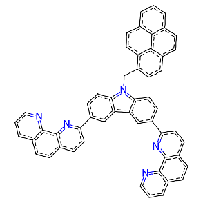 c1cnc2c(c1)ccc1ccc(-c3ccc4c(c3)c3cc(-c5ccc6ccc7cccnc7c6n5)ccc3n4Cc3ccc4ccc5cccc6ccc3c4c56)nc12